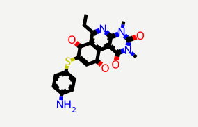 CCc1nc2c(c3c1C(=O)C(Sc1ccc(N)cc1)=CC3=O)c(=O)n(C)c(=O)n2C